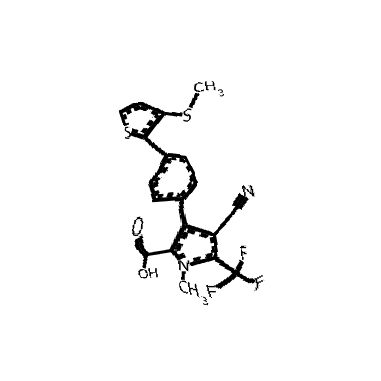 CSc1ccsc1-c1ccc(-c2c(C#N)c(C(F)(F)F)n(C)c2C(=O)O)cc1